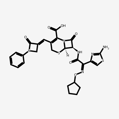 Nc1nc(/C(=N/OC2CCCC2)C(=O)N[C@@H]2C(=O)N3C(C(=O)O)=C(/C=C4\CN(c5ccccc5)C4=O)CS[C@H]23)cs1